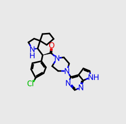 O=C([C@@H](c1ccc(Cl)cc1)[C@H]1NCCC12CCCC2)N1CCN(c2ncnc3[nH]ccc23)CC1